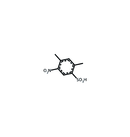 Cc1cc(C)c(S(=O)(=O)O)cc1[N+](=O)[O-]